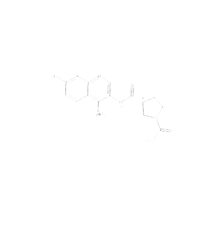 Nc1c(NC(=O)[C@@H]2CCN(C(=O)O)C2)cnc2cc(Br)ccc12